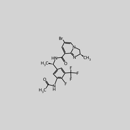 CC(=O)Nc1cc([C@@H](C)NC(=O)C2=CC(Br)=CN3C[C@@H](C)N=C23)cc(C(F)(F)F)c1F